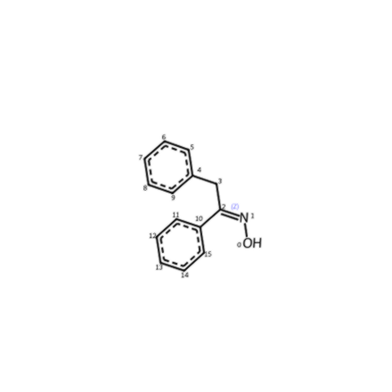 O/N=C(/Cc1ccccc1)c1ccccc1